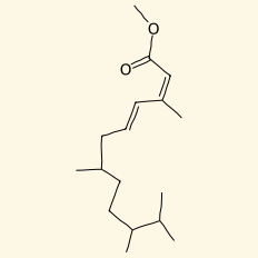 COC(=O)C=C(C)C=CCC(C)CCC(C)C(C)C